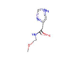 COCNC(=O)c1c[nH]cn1